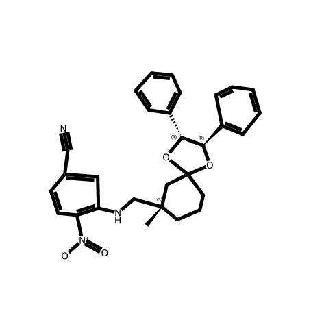 C[C@]1(CNc2cc(C#N)ccc2[N+](=O)[O-])CCCC2(C1)O[C@H](c1ccccc1)[C@@H](c1ccccc1)O2